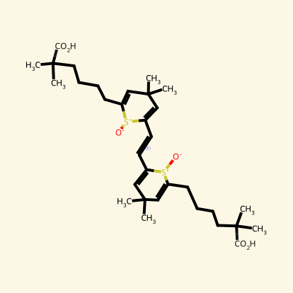 CC1(C)C=C(/C=C/C2=CC(C)(C)C=C(CCCCC(C)(C)C(=O)O)[S+]2[O-])[S+]([O-])C(CCCCC(C)(C)C(=O)O)=C1